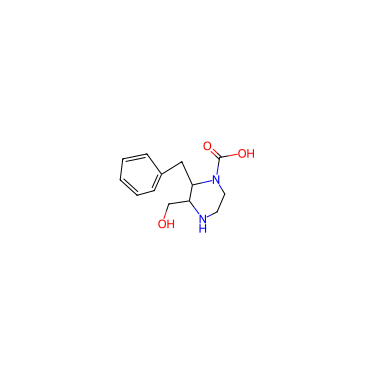 O=C(O)N1CCNC(CO)C1Cc1ccccc1